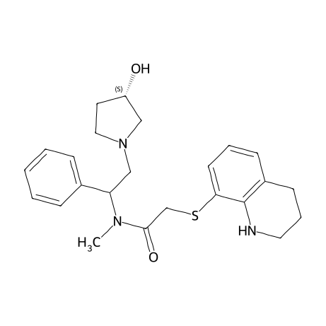 CN(C(=O)CSc1cccc2c1NCCC2)C(CN1CC[C@H](O)C1)c1ccccc1